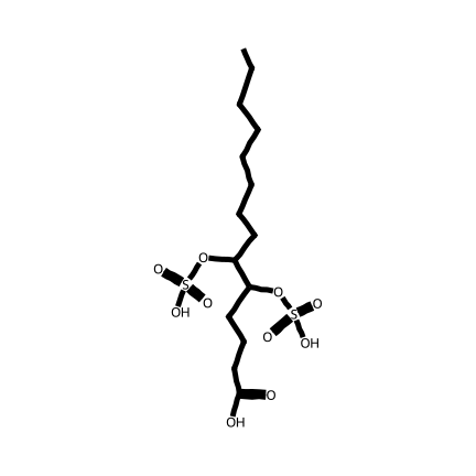 CCCCCCCCC(OS(=O)(=O)O)C(CCCC(=O)O)OS(=O)(=O)O